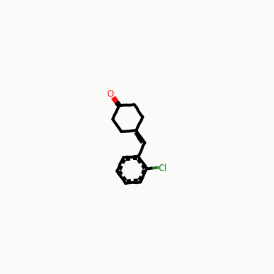 O=C1CCC(=Cc2ccccc2Cl)CC1